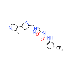 Cc1cnccc1-c1ccc(C[n+]2cc([N-]C(=O)Nc3cccc(C(F)(F)F)c3)on2)nc1